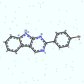 Brc1ccc(-c2ncc3c(n2)[nH]c2ccccc23)cc1